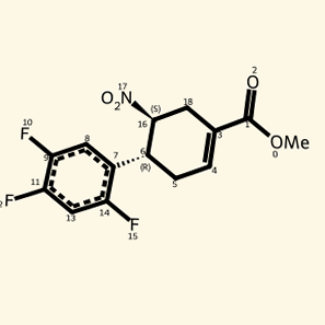 COC(=O)C1=CC[C@H](c2cc(F)c(F)cc2F)[C@@H]([N+](=O)[O-])C1